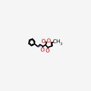 CC1=CC(=O)C(C(=O)/C=C/c2ccccc2)C(=O)O1